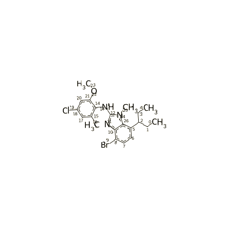 CCC(CC)c1ccc(Br)c2nc(Nc3c(C)cc(Cl)cc3OC)n(C)c12